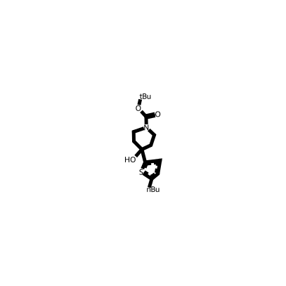 CCCCc1ccc(C2(O)CCN(C(=O)OC(C)(C)C)CC2)s1